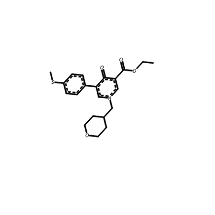 CCOC(=O)c1cn(CC2CCOCC2)cc(-c2ccc(SC)cc2)c1=O